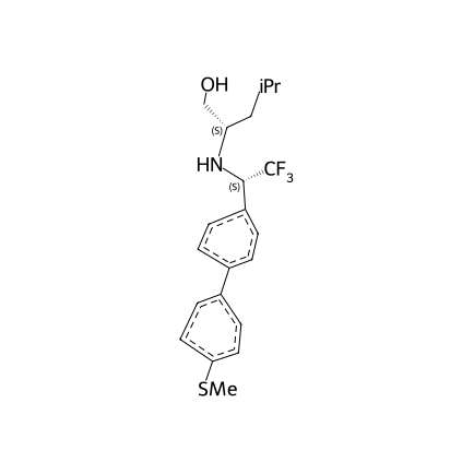 CSc1ccc(-c2ccc([C@H](N[C@H](CO)CC(C)C)C(F)(F)F)cc2)cc1